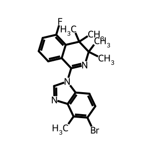 Cc1c(Br)ccc2c1ncn2C1=NC(C)(C)C(C)(C)c2c(F)cccc21